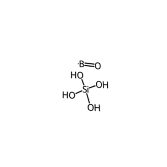 O[Si](O)(O)O.[B]=O